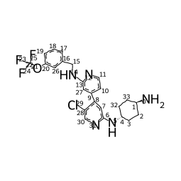 N[C@H]1CC[C@H](Nc2cc(-c3ccnc(NCc4cccc(OC(F)(F)F)c4)c3)c(Cl)cn2)CC1